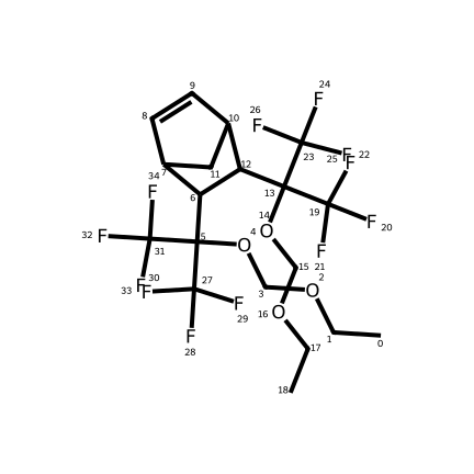 CCOCOC(C1C2C=CC(C2)C1C(OCOCC)(C(F)(F)F)C(F)(F)F)(C(F)(F)F)C(F)(F)F